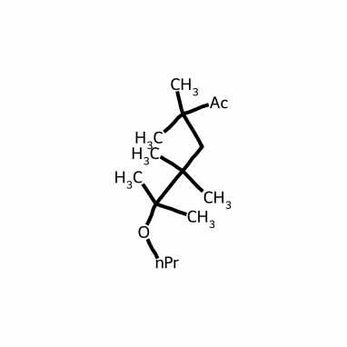 CCCOC(C)(C)C(C)(C)CC(C)(C)C(C)=O